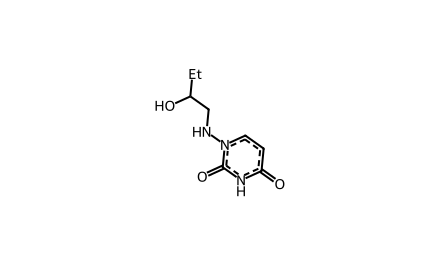 CCC(O)CNn1ccc(=O)[nH]c1=O